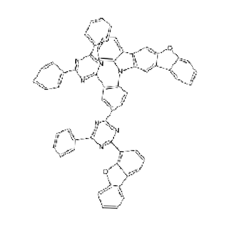 c1ccc(-c2nc(-c3ccccc3)nc(-c3cc(-c4nc(-c5ccccc5)nc(-c5cccc6c5oc5ccccc56)n4)ccc3-n3c4ccccc4c4cc5oc6ccccc6c5cc43)n2)cc1